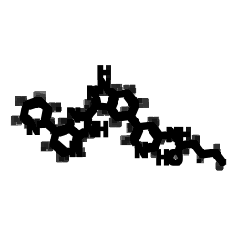 CCCCC(O)Nc1cncc(-c2ccc3[nH]nc(-c4nc5c(-c6ccccn6)ccnc5[nH]4)c3c2)c1